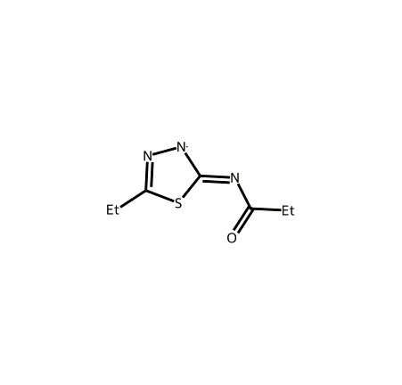 CCC(=O)N=C1[N]N=C(CC)S1